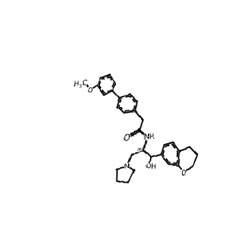 COc1cccc(-c2ccc(CC(=O)N[C@H](CN3CCCC3)C(O)c3ccc4c(c3)OCCC4)cc2)c1